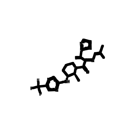 C=C(/C(=N\C=C(C)C)C(=O)N1CCC[C@@H](Nc2cnc(C(F)(F)F)cn2)[C@@H]1C)n1nccn1